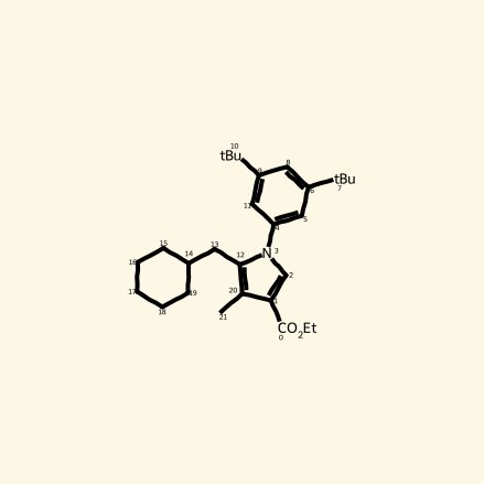 CCOC(=O)c1cn(-c2cc(C(C)(C)C)cc(C(C)(C)C)c2)c(CC2CCCCC2)c1C